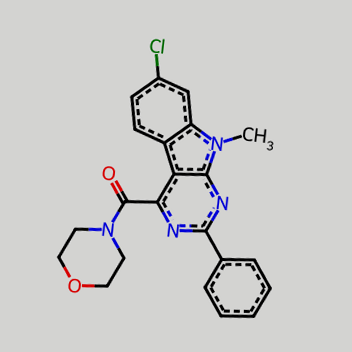 Cn1c2cc(Cl)ccc2c2c(C(=O)N3CCOCC3)nc(-c3ccccc3)nc21